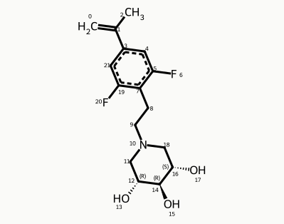 C=C(C)c1cc(F)c(CCN2C[C@@H](O)[C@H](O)[C@@H](O)C2)c(F)c1